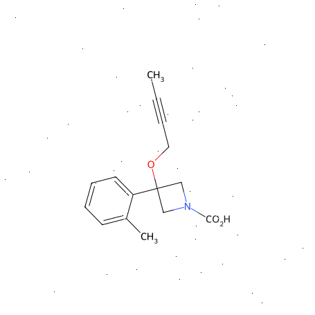 CC#CCOC1(c2ccccc2C)CN(C(=O)O)C1